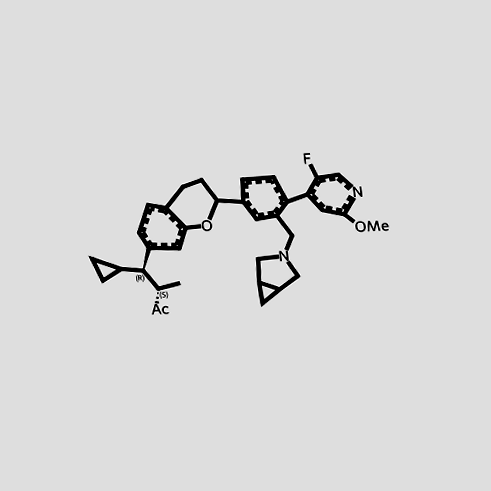 COc1cc(-c2ccc(C3CCc4ccc([C@H](C5CC5)[C@H](C)C(C)=O)cc4O3)cc2CN2CC3CC3C2)c(F)cn1